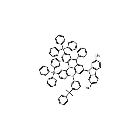 CC(C)(C)c1ccc2c3ccc(C(C)(C)C)cc3n(-c3cc4c5c(c3)N(c3ccccc3)c3cc([Si](c6ccccc6)(c6ccccc6)c6ccccc6)ccc3B5c3cc([Si](c5ccccc5)(c5ccccc5)c5ccccc5)ccc3N4c3cccc(C(C)(C)c4ccccc4)c3)c2c1